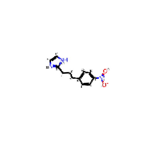 O=[N+]([O-])c1ccc(CCCc2ncc[nH]2)cc1